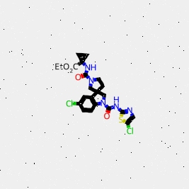 CCOC(=O)C1(NC(=O)N2CCC3(C2)CN(C(=O)Nc2ncc(Cl)s2)c2ccc(Cl)cc23)CC1